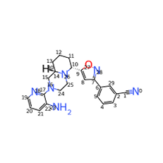 N#Cc1cccc(-c2cc([C@H]3CCC[C@H]4CN(c5ncccc5N)CCN43)on2)c1